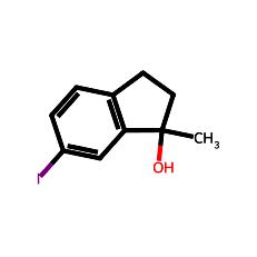 CC1(O)CCc2ccc(I)cc21